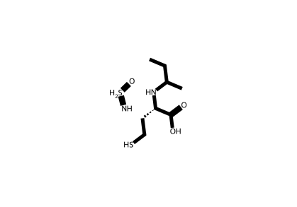 CCC(C)N[C@@H](CCS)C(=O)O.N=[SH2]=O